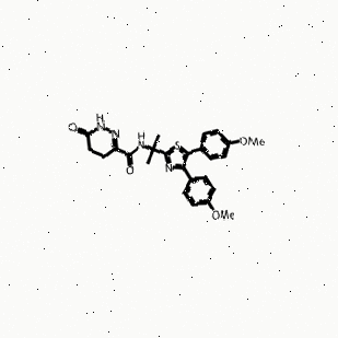 COc1ccc(-c2nc(C(C)(C)NC(=O)C3=NNC(=O)CC3)sc2-c2ccc(OC)cc2)cc1